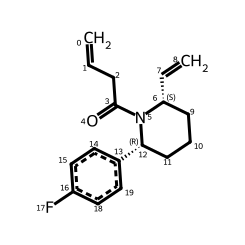 C=CCC(=O)N1[C@H](C=C)CCC[C@@H]1c1ccc(F)cc1